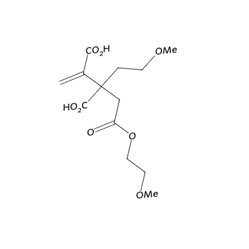 C=C(C(=O)O)C(CCOC)(CC(=O)OCCOC)C(=O)O